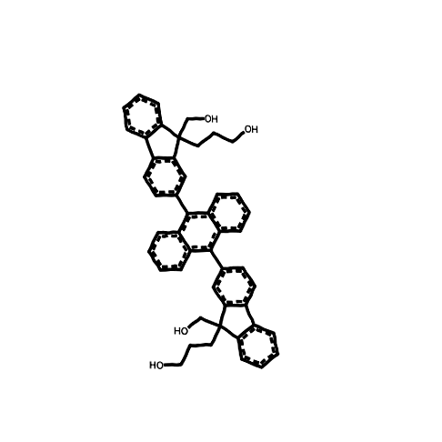 OCCCC1(CO)c2ccccc2-c2ccc(-c3c4ccccc4c(-c4ccc5c(c4)C(CO)(CCCO)c4ccccc4-5)c4ccccc34)cc21